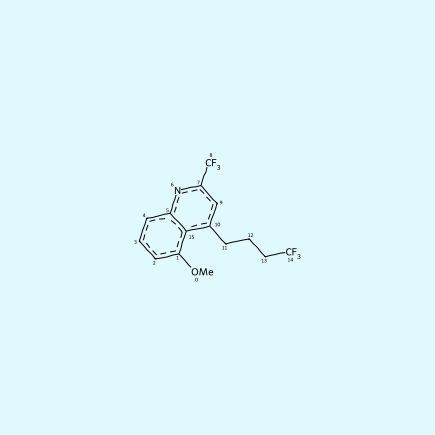 COc1cccc2nc(C(F)(F)F)cc(CCCC(F)(F)F)c12